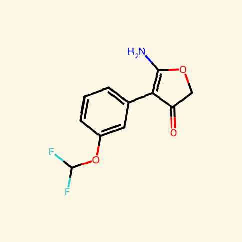 NC1=C(c2cccc(OC(F)F)c2)C(=O)CO1